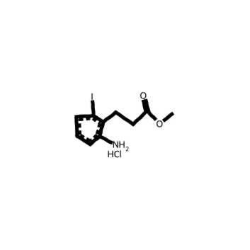 COC(=O)CCc1c(N)cccc1I.Cl